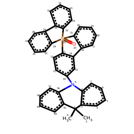 CC1(C)c2ccccc2N(c2ccc3c(c2)-c2ccccc2S32(=O)c3ccccc3-c3ccccc32)c2ccccc21